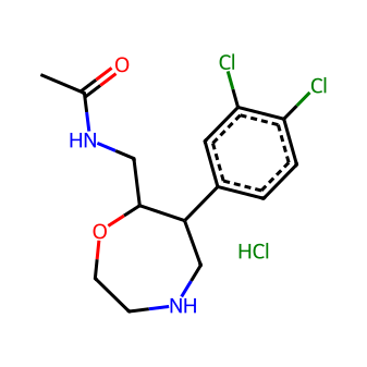 CC(=O)NCC1OCCNCC1c1ccc(Cl)c(Cl)c1.Cl